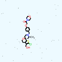 C[C@H]1C[C@@]2(CCN1Cc1ccc(OCC(=O)N3CCOCC3)cc1)OCCc1c2sc(Cl)c1CO